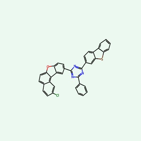 Clc1ccc2ccc3oc4ccc(-c5nc(-c6ccccc6)nc(-c6ccc7c(c6)sc6ccccc67)n5)cc4c3c2c1